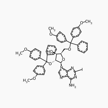 COc1ccc(C(OC[C@H]2O[C@@H](n3cnc4c(N)nc(I)nc43)[C@H](OC(c3ccccc3)(c3ccc(OC)cc3)c3ccc(OC)cc3)[C@H]2O)(c2ccccc2)c2ccc(OC)cc2)cc1